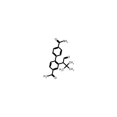 CC(C)(C)C(C=O)c1cc(C(N)=O)ccc1-c1ccc(C(N)=O)cc1